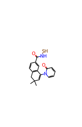 CC1(C)C=C(n2ccccc2=O)c2cc(C(=O)NS)ccc2C1